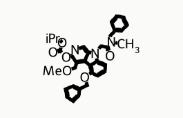 COCc1c(OC(=O)OC(C)C)ncc2c1c1c(OCc3ccccc3)cccc1n2CC(=O)N(C)Cc1ccccc1